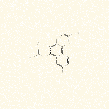 CCCC(=O)Oc1c(OC)c(OC)c(OC(=O)CC)c2cc(C)ccc12